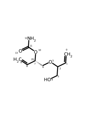 C=CC(CO)OC[C@H](C=C)OC(N)=O